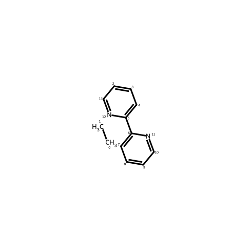 CC.c1ccc(-c2ccccn2)nc1